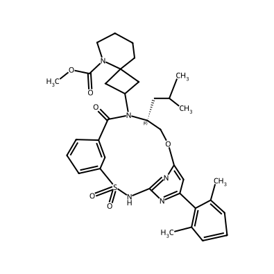 COC(=O)N1CCCCC12CC(N1C(=O)c3cccc(c3)S(=O)(=O)Nc3nc(cc(-c4c(C)cccc4C)n3)OC[C@H]1CC(C)C)C2